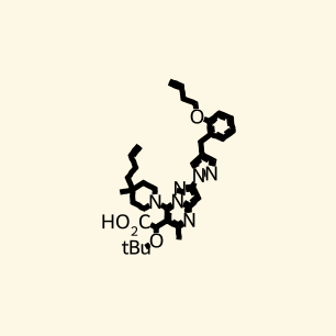 C=CCCOc1ccccc1Cc1cnn(-c2cc3nc(C)c(C(OC(C)(C)C)C(=O)O)c(N4CCC(C)(CCC=C)CC4)n3n2)c1